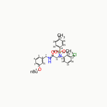 CCCCOc1cccc(CNC(=O)CN(c2cccc(Cl)c2C)S(=O)(=O)c2ccc(C)cc2)c1